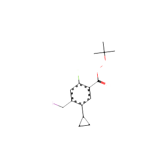 CC(C)(C)OOC(=O)c1cc(C2CC2)c(CI)cc1F